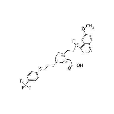 COc1ccc2nccc([C@H](F)CC[C@@H]3CCN(CCCSc4ccc(C(F)(F)F)cc4)C[C@@H]3CC(=O)O)c2c1